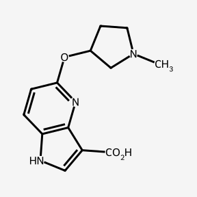 CN1CCC(Oc2ccc3[nH]cc(C(=O)O)c3n2)C1